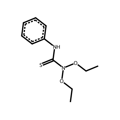 CCON(OCC)C(=S)Nc1ccccc1